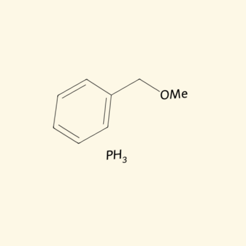 P.[CH2]OCc1ccccc1